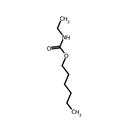 CCCCC[CH]OC(=O)NCC